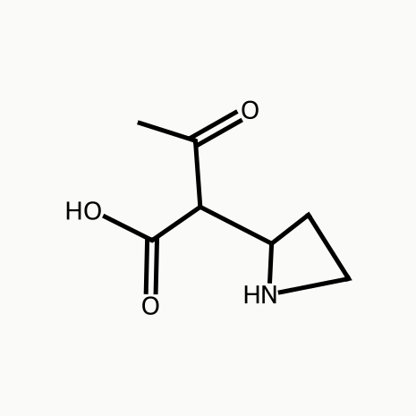 CC(=O)C(C(=O)O)C1CCN1